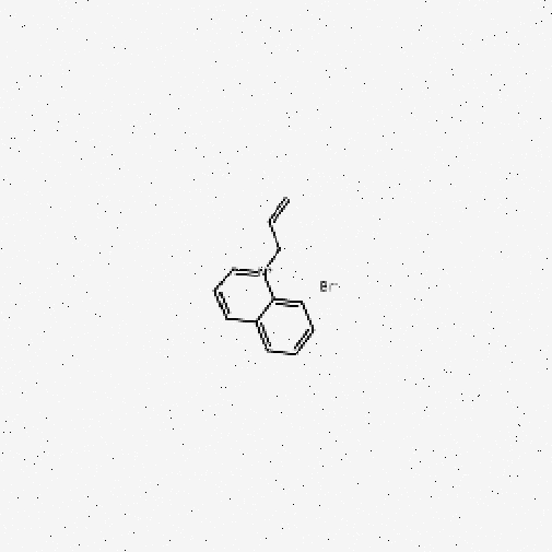 C=CC[n+]1cccc2ccccc21.[Br-]